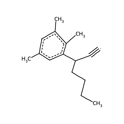 [C]#CC(CCCC)c1cc(C)cc(C)c1C